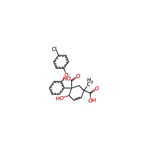 CC1(C(=O)O)C=CC(O)C(C(=O)O)(c2ccccc2Oc2ccc(Cl)cc2)C1